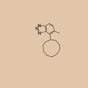 Cc1ccc2c(c1C1CCCCCCCCC1)N=N[N]2